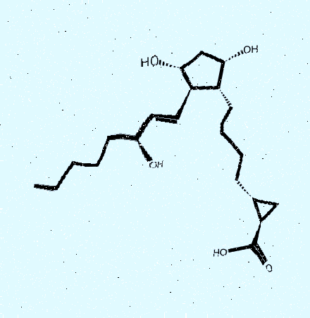 CCCCC[C@H](O)/C=C/[C@@H]1[C@@H](CCCC[C@@H]2C[C@H]2C(=O)O)[C@@H](O)C[C@H]1O